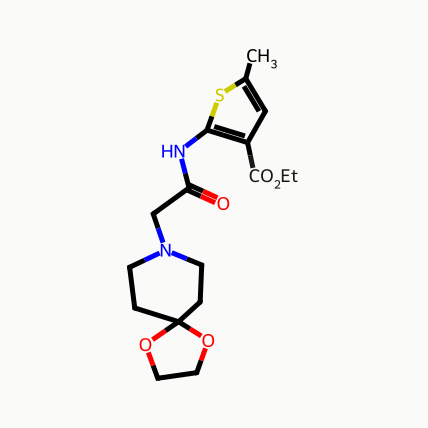 CCOC(=O)c1cc(C)sc1NC(=O)CN1CCC2(CC1)OCCO2